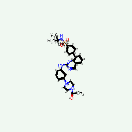 CC(=O)N1CCN(c2cccc(Nc3ncc4cccc(-c5ccc(S(=O)(=O)NC(C)(C)C)cc5)c4n3)c2)CC1